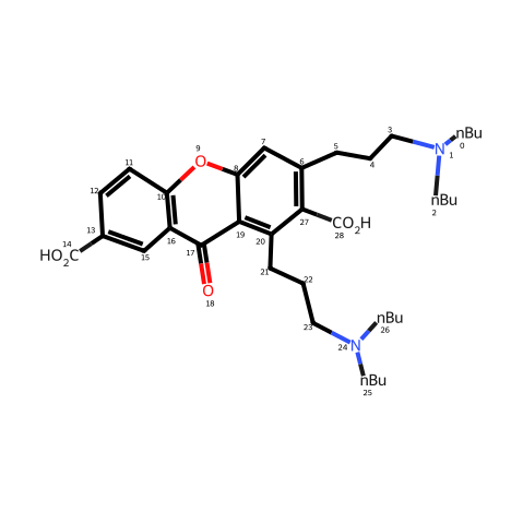 CCCCN(CCCC)CCCc1cc2oc3ccc(C(=O)O)cc3c(=O)c2c(CCCN(CCCC)CCCC)c1C(=O)O